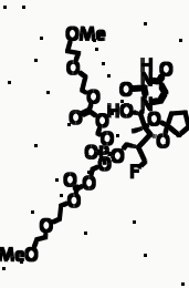 COCCOCCOC(=O)OCOP(=O)(OCOC(=O)OCCOCCOC)OC[C@H](CF)[C@H]1OC2(CCCC2)O[C@@]1(C)[C@@H](O)n1ccc(=O)[nH]c1=O